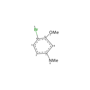 CNc1ccc(Br)c(OC)c1